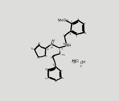 COc1ccccc1CN[C@H](CCc1ccccc1)NC1CCCC1.Cl.Cl